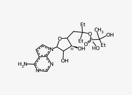 CCC(CC)(CC1OC(n2ccc3c(N)ncnc32)C(O)[C@@H]1O)OP(=O)(O)C(C)(O)CC